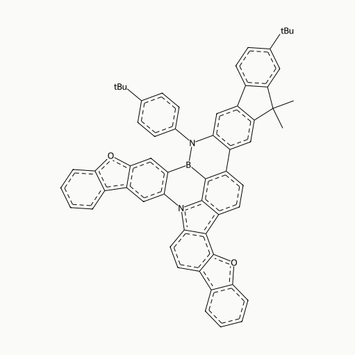 CC(C)(C)c1ccc(N2B3c4cc5oc6ccccc6c5cc4-n4c5ccc6c7ccccc7oc6c5c5ccc(c3c54)-c3cc4c(cc32)-c2ccc(C(C)(C)C)cc2C4(C)C)cc1